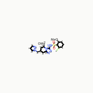 COc1cccc(F)c1S(=O)(=O)Nc1nnc2cc(Cn3cccn3)cc(OC)n12